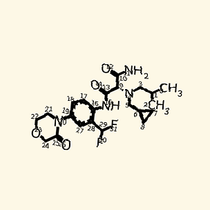 CC(C)CN(CC1CC1)[C@@H](C(N)=O)C(=O)Nc1ccc(N2CCOCC2=O)cc1C(F)F